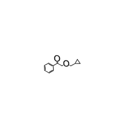 O=C(COCC1CC1)c1ccccc1